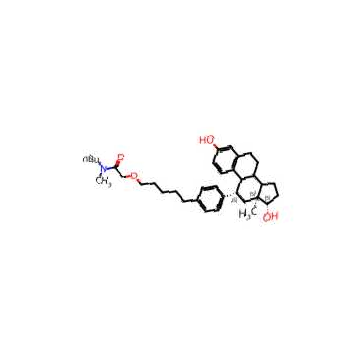 CCCCN(C)C(=O)COCCCCCc1ccc([C@H]2C[C@@]3(C)C(CC[C@@H]3O)C3CCc4cc(O)ccc4C32)cc1